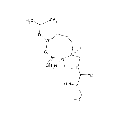 CC(C)OB1CCC[C@H]2CN(C(=O)C(N)CO)CC2(N)C(=O)O1